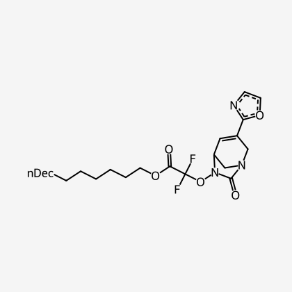 CCCCCCCCCCCCCCCCOC(=O)C(F)(F)ON1C(=O)N2CC(c3ncco3)=CC1C2